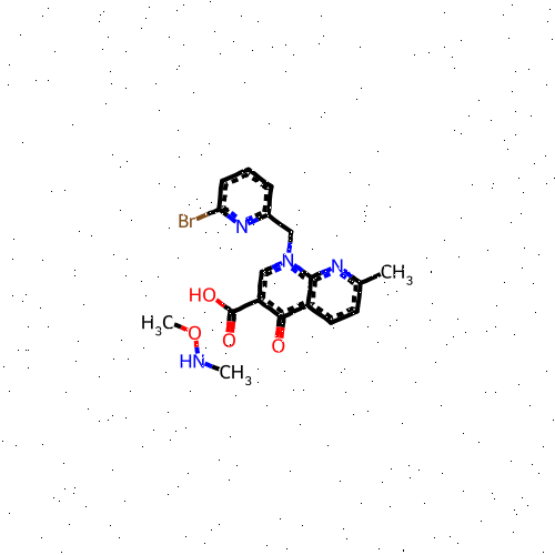 CNOC.Cc1ccc2c(=O)c(C(=O)O)cn(Cc3cccc(Br)n3)c2n1